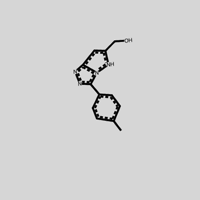 Cc1ccc(-c2nnc3cc(CO)[nH]n23)cc1